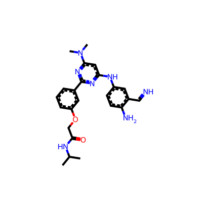 CC(C)NC(=O)COc1cccc(-c2nc(Nc3ccc(N)c(C=N)c3)cc(N(C)C)n2)c1